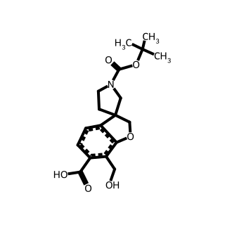 CC(C)(C)OC(=O)N1CCC2(COc3c2ccc(C(=O)O)c3CO)C1